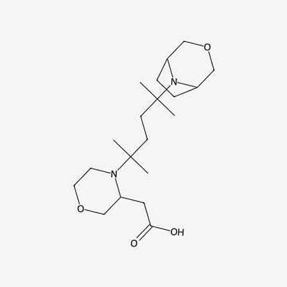 CC(C)(CCC(C)(C)N1C2CCC1COC2)N1CCOCC1CC(=O)O